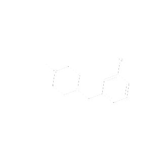 Nc1cccc(CN2CCN(C(=O)O)CC2)c1